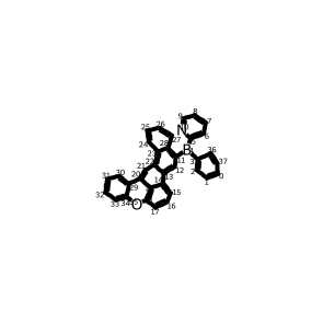 c1ccc(B(c2ccccn2)c2cc3c4cccc5c4c(cc3c3ccccc23)-c2ccccc2O5)cc1